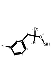 CCC(CC)(Cc1cccc(F)c1)O[SiH3]